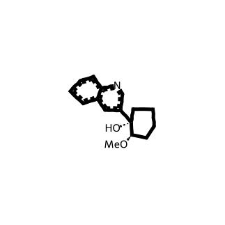 CO[C@H]1CCCC[C@]1(O)c1cnc2ccccc2c1